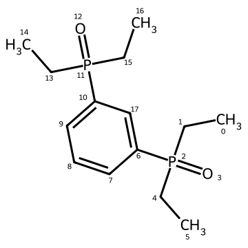 CCP(=O)(CC)c1cccc(P(=O)(CC)CC)c1